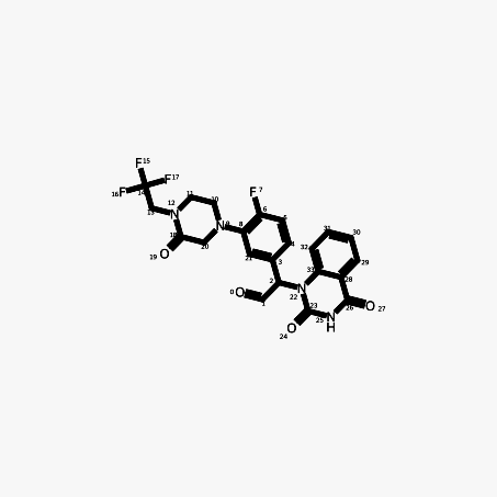 O=CC(c1ccc(F)c(N2CCN(CC(F)(F)F)C(=O)C2)c1)n1c(=O)[nH]c(=O)c2ccccc21